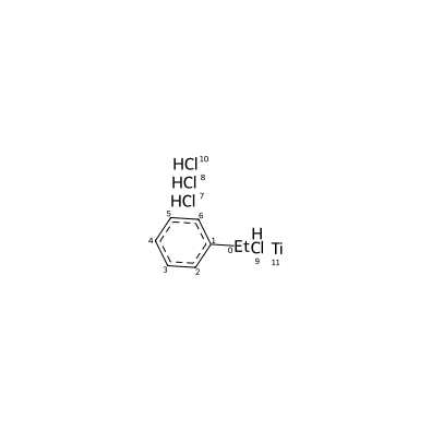 CCc1ccccc1.Cl.Cl.Cl.Cl.[Ti]